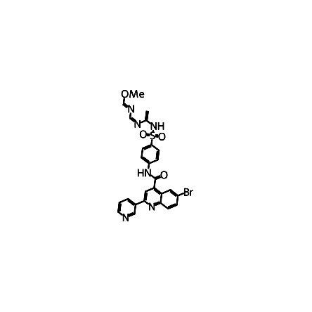 C=C(/N=C\N=C\OC)NS(=O)(=O)c1ccc(NC(=O)c2cc(-c3cccnc3)nc3ccc(Br)cc23)cc1